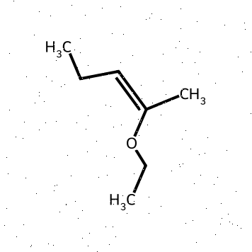 CC/C=C(/C)OCC